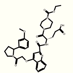 CCOC(=O)N1CCN(C(=O)[C@H](CCC(=O)O)NC(=O)c2cc(OCC(=O)N3CCCC3c3cccc(OC)c3)c3ccccc3n2)CC1